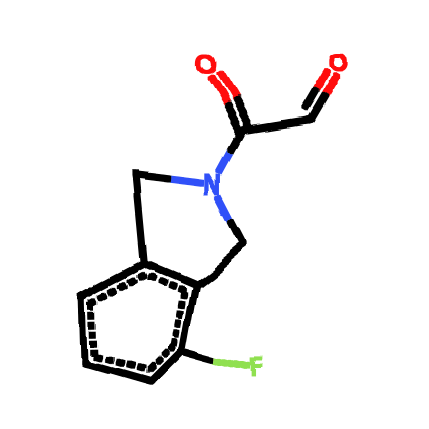 O=CC(=O)N1Cc2cccc(F)c2C1